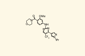 COc1cc(Nc2ncc(C(F)(F)F)c(-c3cnn(C(C)C)c3)n2)ccc1C(=O)N1CCOCC1